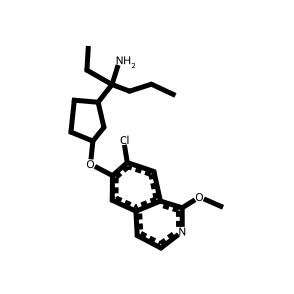 CCCC(N)(CC)C1CCC(Oc2cc3ccnc(OC)c3cc2Cl)C1